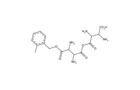 Cc1ccccc1COC(=O)C(N)C(N)C(=O)OC(=O)C(N)C(N)C(=O)O